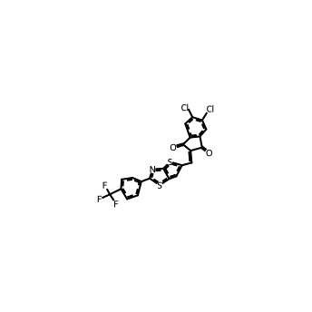 O=C1C(=Cc2cc3sc(-c4ccc(C(F)(F)F)cc4)nc3s2)C(=O)c2cc(Cl)c(Cl)cc21